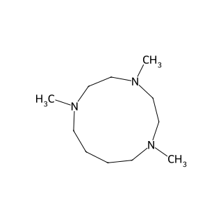 CN1CCCCN(C)CCN(C)CC1